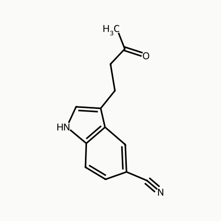 CC(=O)CCc1c[nH]c2ccc(C#N)cc12